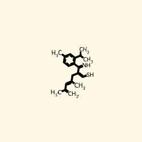 C=C(C)/C=C(\C)C/C(=C/S)C(=N)c1ccc(C)cc1C(C)C